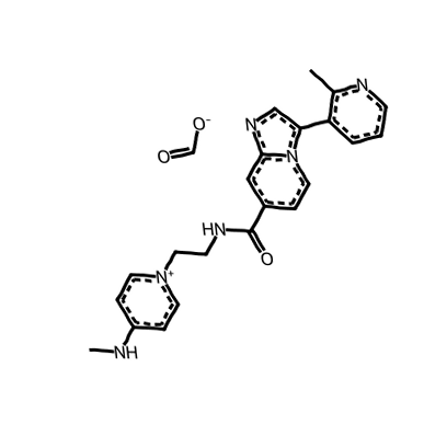 CNc1cc[n+](CCNC(=O)c2ccn3c(-c4cccnc4C)cnc3c2)cc1.O=C[O-]